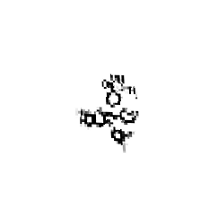 CO[C@]1(C(=O)O)CC[C@H](c2c(C3CCOCC3)n(-c3ccc(F)c(F)c3)c3cc4cn[nH]c4nc32)CC1